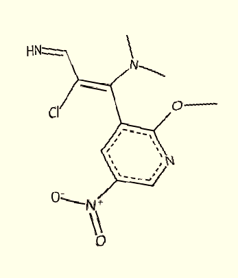 COc1ncc([N+](=O)[O-])cc1/C(=C(\Cl)C=N)N(C)C